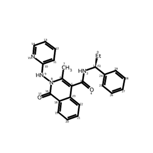 CC[C@H](NC(=O)c1c(C)n(Nc2ccccn2)c(=O)c2ccccc12)c1ccccc1